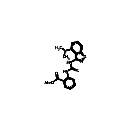 COC(=O)c1ccccc1NC(=S)Nc1noc2cccc(N(C)C)c12